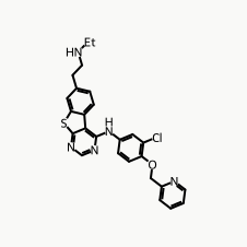 CCNCCc1ccc2c(c1)sc1ncnc(Nc3ccc(OCc4ccccn4)c(Cl)c3)c12